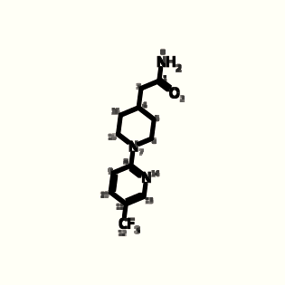 NC(=O)CC1CCN(c2ccc(C(F)(F)F)cn2)CC1